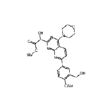 COc1ccc(-c2ccc3c(N4CCOCC4)nc(C(C#N)C(=O)OC(C)(C)C)nc3n2)cc1CO